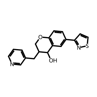 OC1c2cc(-c3ccsn3)ccc2OCC1Cc1cccnc1